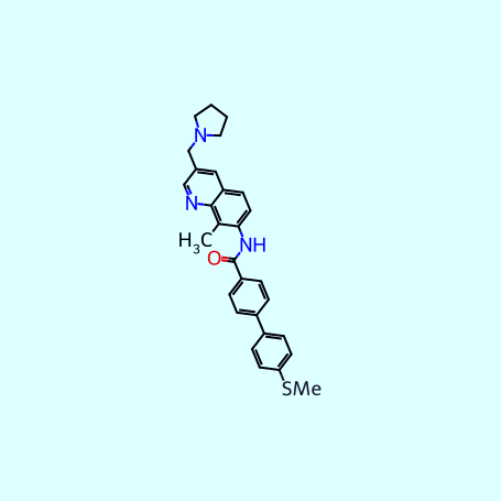 CSc1ccc(-c2ccc(C(=O)Nc3ccc4cc(CN5CCCC5)cnc4c3C)cc2)cc1